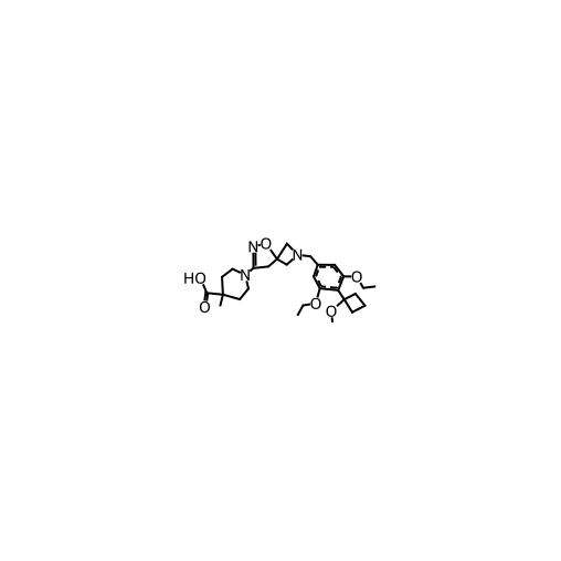 CCOc1cc(CN2CC3(CC(N4CCC(C)(C(=O)O)CC4)=NO3)C2)cc(OCC)c1C1(OC)CCC1